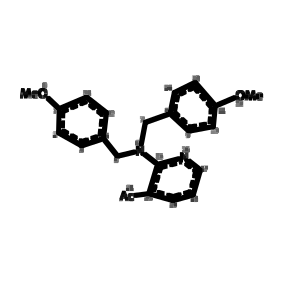 COc1ccc(CN(Cc2ccc(OC)cc2)c2ncccc2C(C)=O)cc1